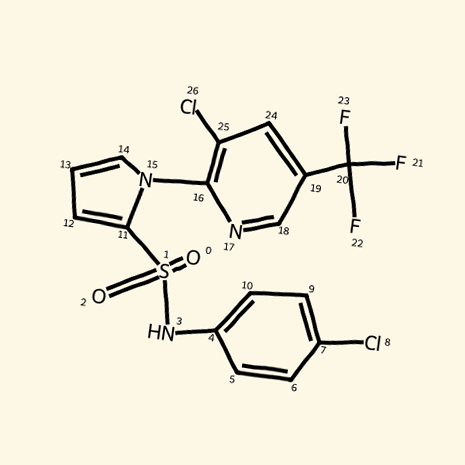 O=S(=O)(Nc1ccc(Cl)cc1)c1cccn1-c1ncc(C(F)(F)F)cc1Cl